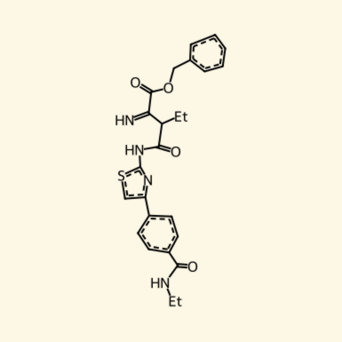 CCNC(=O)c1ccc(-c2csc(NC(=O)C(CC)C(=N)C(=O)OCc3ccccc3)n2)cc1